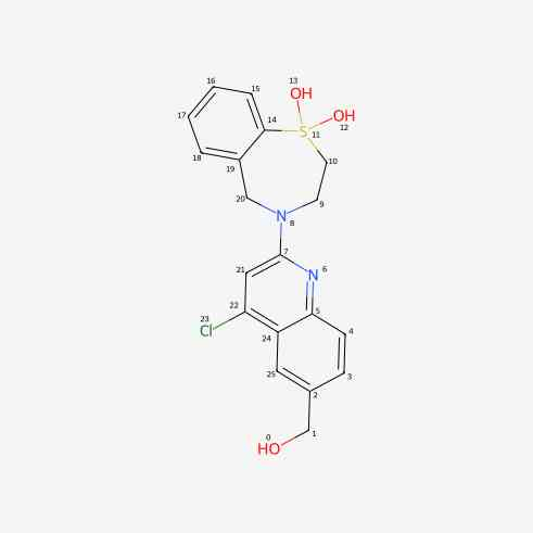 OCc1ccc2nc(N3CCS(O)(O)c4ccccc4C3)cc(Cl)c2c1